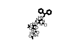 CC(=O)NNC(=O)[C@H]1O[C@@H](n2cnc3c(NCC(c4ccccc4)c4ccccc4)nc(Cl)nc32)[C@@H]2OC(C)(C)O[C@@H]21